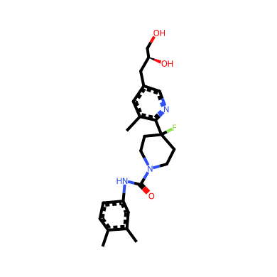 Cc1ccc(NC(=O)N2CCC(F)(c3ncc(C[C@H](O)CO)cc3C)CC2)cc1C